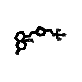 CC(C)[Si](OCc1ccc(CCC2CCCC3=CC(=O)CCC32C)cc1)(C(C)C)C(C)C